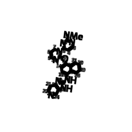 CNc1nccc(N2CC=CN=C2Oc2ccc(Nc3nc4ccncc4[nH]3)c3ccccc23)n1